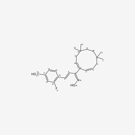 CC1(C)C\C=C/C(C(/C=C/c2ccc(C(=O)O)cc2F)=N/O)=C\CC(C)(C)CC1